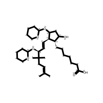 CC(C)=CCC(C)(C)[C@H](/C=C/[C@H]1C(OC2CCCCO2)CC(O)[C@@H]1CCCCCCC(=O)O)OC1CCCCO1